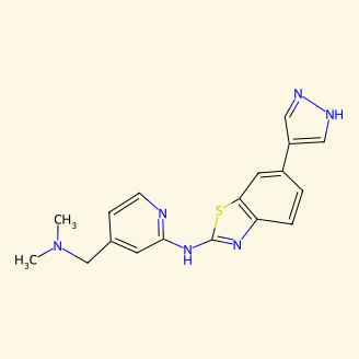 CN(C)Cc1ccnc(Nc2nc3ccc(-c4cn[nH]c4)cc3s2)c1